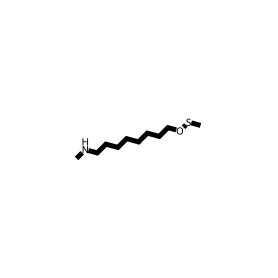 CNCCCCCCCCOSC